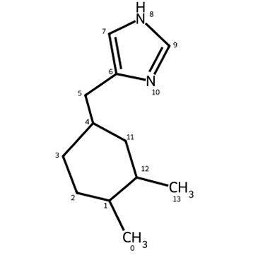 CC1CCC(Cc2c[nH]cn2)CC1C